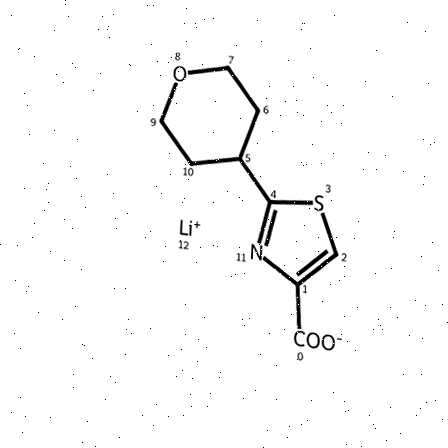 O=C([O-])c1csc(C2CCOCC2)n1.[Li+]